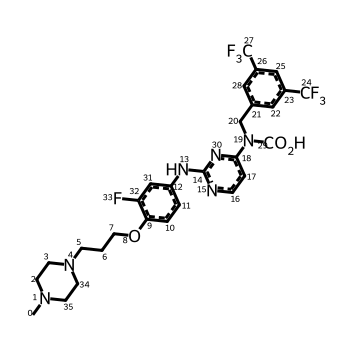 CN1CCN(CCCOc2ccc(Nc3nccc(N(Cc4cc(C(F)(F)F)cc(C(F)(F)F)c4)C(=O)O)n3)cc2F)CC1